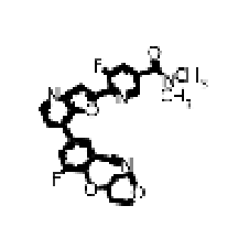 CN(C)C(=O)c1cnc(-c2cc3nccc(-c4cc(F)c(OC5CCOCC5)c(C#N)c4)c3o2)c(F)c1